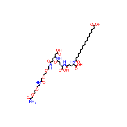 NC(=O)COCCOCCNC(=O)COCCOCCNC(=O)CC[C@@H](CC(=O)O)NC(=O)CC[C@H](NC(=O)CC[C@H](NC(=O)CCCCCCCCCCCCCCCCC(=O)O)C(=O)O)C(=O)O